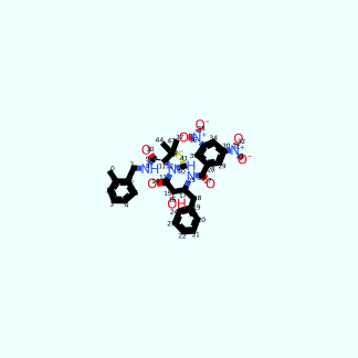 Cc1ccccc1CNC(=O)[C@H]1N(C(=O)[C@@H](O)C(Cc2ccccc2)NC(=O)c2cc([N+](=O)[O-])cc([N+](=O)[O-])c2)CSC1(C)C